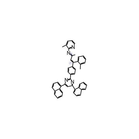 CC(/C=C(/c1ccc(-c2nc(-c3cccc4ccccc34)cc(-c3cccc4ccccc34)n2)cc1)c1ccccc1C)=N\c1ncccc1C